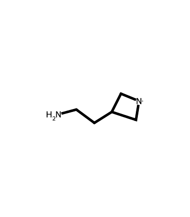 NCCC1C[N]C1